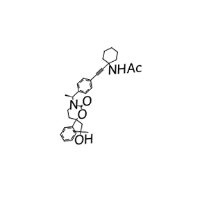 CC(=O)NC1(C#Cc2ccc([C@H](C)N3CCC(CC(C)(C)O)(c4ccccc4)OC3=O)cc2)CCCCC1